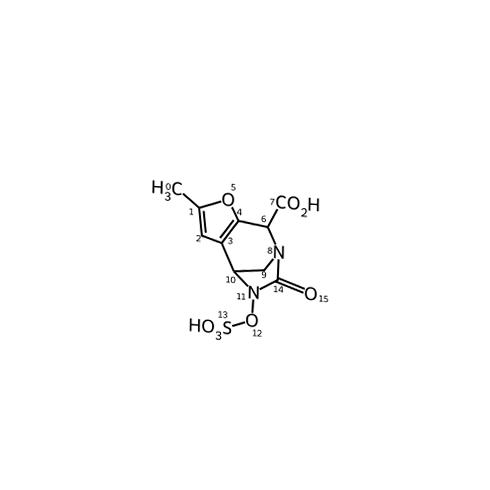 Cc1cc2c(o1)C(C(=O)O)N1CC2N(OS(=O)(=O)O)C1=O